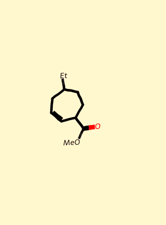 CCC1CC=CC(C(=O)OC)CC1